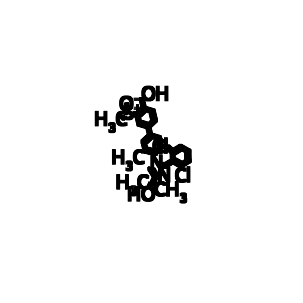 Cc1cc(-c2ccc(CO)c([S+](C)[O-])c2)ccc1-n1cc(C(C)(C)O)nc1-c1c(Cl)cccc1Cl